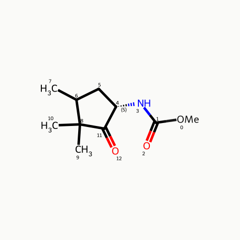 COC(=O)N[C@H]1CC(C)C(C)(C)C1=O